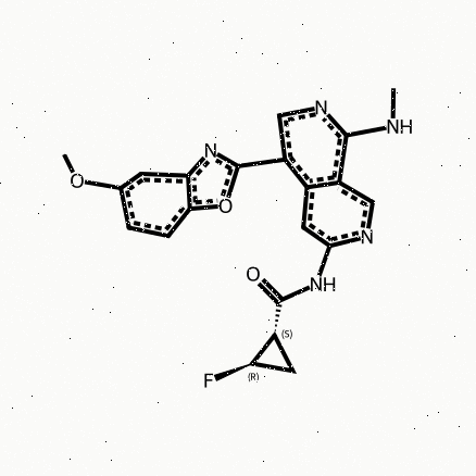 CNc1ncc(-c2nc3cc(OC)ccc3o2)c2cc(NC(=O)[C@@H]3C[C@H]3F)ncc12